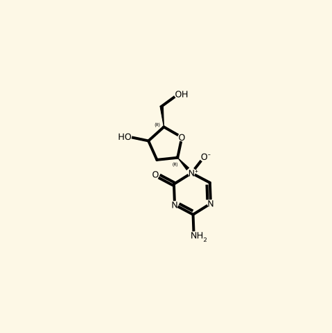 NC1=NC(=O)[N+]([O-])([C@H]2CC(O)[C@@H](CO)O2)C=N1